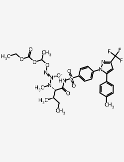 CCOC(=O)OC(C)ON=[N+]([O-])N(C)[C@H](C(=O)NS(=O)(=O)c1ccc(-n2nc(C(F)(F)F)cc2-c2ccc(C)cc2)cc1)[C@H](C)CC